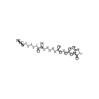 [N-]=[N+]=NCCCCCC(=O)NCCCCCC(=O)OCOC(=O)ON1C(=O)CCC1=O